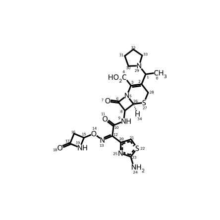 CC(C1=C(C(=O)O)N2C(=O)C(NC(=O)/C(=N\OC3CC(=O)N3)c3csc(N)n3)[C@@H]2SC1)N1CCCC1